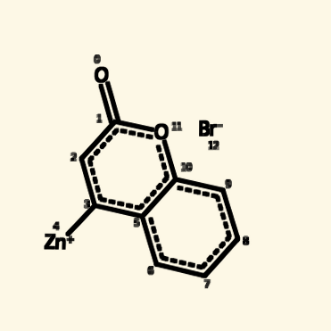 O=c1c[c]([Zn+])c2ccccc2o1.[Br-]